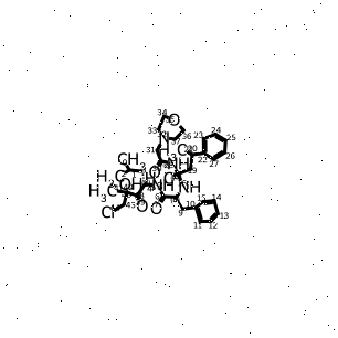 CC(C)C[C@H](NC(=O)[C@H](Cc1ccccc1)N[C@](C)(CC(C)c1ccccc1)NC(=O)CN1CCOCC1)C(=O)C(C)(O)CCl